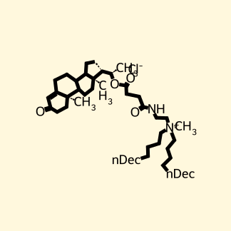 CCCCCCCCCCCCCC[N+](C)(CCCCCCCCCCCCCC)CCNC(=O)CCC(=O)O[C@@H](C)[C@H]1CCC2C3CCC4=CC(=O)CC[C@]4(C)C3CC[C@@]21C.[Cl-]